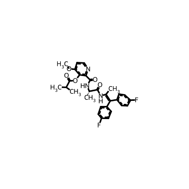 COc1ccnc(C(=O)N[C@@H](C)C(=O)NC(C)=C(c2ccc(F)cc2)c2ccc(F)cc2)c1OC(=O)C(C)C